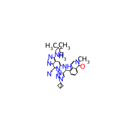 Cn1ccc2c([C@H](Nc3cc4c(NCC(C)(C)C)ncnc4c(C#N)n3)c3cn(C45CC(C4)C5)nn3)cccc2c1=O